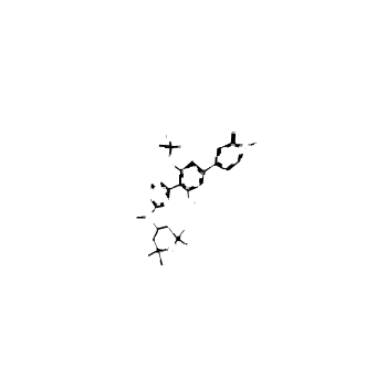 CN(c1nnc(-c2c(O)cc(-c3ccn(C)c(=O)c3)cc2OC(F)(F)F)s1)C1CC(C)(C)NC(C)(C)C1